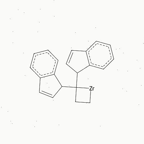 C1=CC([C]2(C3C=Cc4ccccc43)C[CH2][Zr]2)c2ccccc21